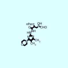 CCCCCC(CN(O)C=O)C(=O)NNc1nc(C)c(C)c(N2CCOCC2)n1